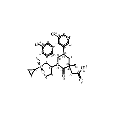 CCC(CS(=O)(=O)C1CC1)N1C(=O)[C@@](C)(CC(=O)O)C[C@H](c2cncc(Cl)c2)[C@H]1c1ccc(Cl)cc1